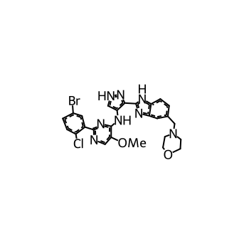 COc1cnc(-c2cc(Br)ccc2Cl)nc1Nc1c[nH]nc1-c1nc2cc(CN3CCOCC3)ccc2[nH]1